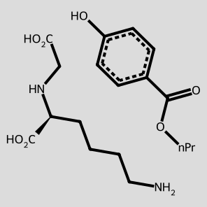 CCCOC(=O)c1ccc(O)cc1.NCCCC[C@H](NCC(=O)O)C(=O)O